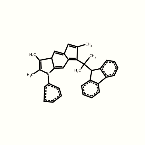 CC1=CC2=CC3C(=CC2=C1C(C)(C)C1c2ccccc2-c2ccccc21)N(c1ccccc1)C(C)=C3C